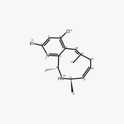 CCc1cc(Cl)c2c(n1)[C@@H](C)N[C@H](C)/C=C\C/C(C)=C/2